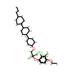 CCCC1CCC(C2CCC(C3CCC(OCC(F)(F)Oc4ccc(OCC)c(F)c4F)CC3)CC2)CC1